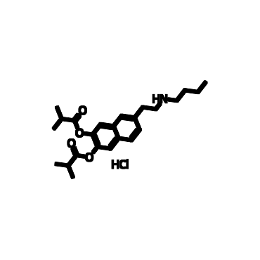 CCCCNCCc1ccc2cc(OC(=O)C(C)C)c(OC(=O)C(C)C)cc2c1.Cl